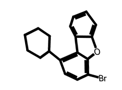 Brc1ccc(C2CCCCC2)c2c1oc1ccccc12